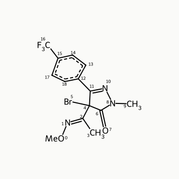 CO/N=C(\C)C1(Br)C(=O)N(C)N=C1c1ccc(C(F)(F)F)cc1